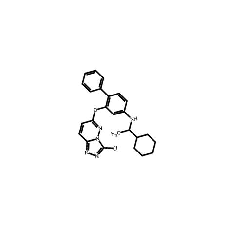 CC(Nc1ccc(-c2ccccc2)c(Oc2ccc3nnc(Cl)n3n2)c1)C1CCCCC1